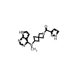 CN(c1ncnc2[nH]ccc12)C1CC2(C1)CN(C(=O)c1cc[nH]n1)C2